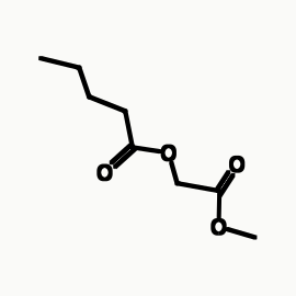 CCCCC(=O)OCC(=O)OC